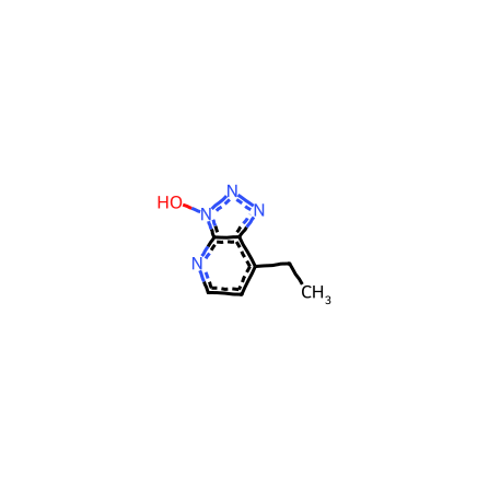 CCc1ccnc2c1nnn2O